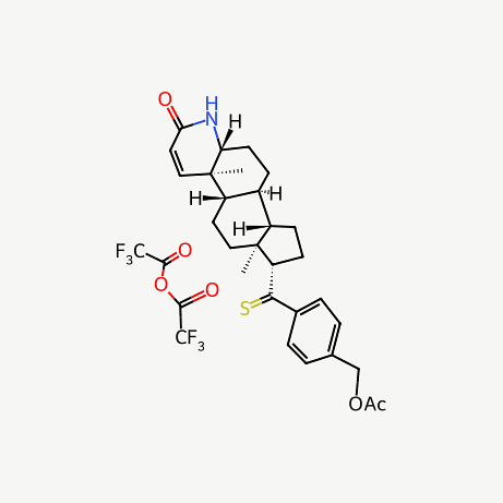 CC(=O)OCc1ccc(C(=S)[C@H]2CC[C@H]3[C@@H]4CC[C@H]5NC(=O)C=C[C@]5(C)[C@H]4CC[C@]23C)cc1.O=C(OC(=O)C(F)(F)F)C(F)(F)F